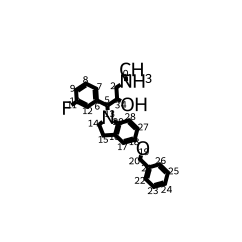 CNCC(O)C(c1cccc(F)c1)N1CCc2cc(OCc3ccccc3)ccc21